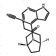 N#CCCC(=O)N1[C@@H]2CC[C@@H]1CN(c1ncnc3[nH]ccc13)C2